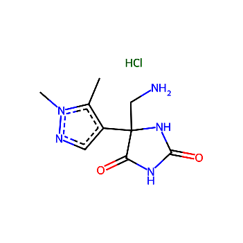 Cc1c(C2(CN)NC(=O)NC2=O)cnn1C.Cl